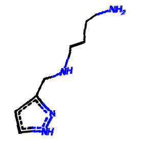 NCCCNCc1cc[nH]n1